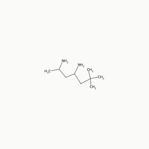 CC(N)CC(N)CC(C)(C)C